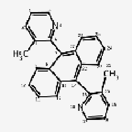 Cc1cccnc1-c1c2ccccc2c(-c2ncccc2C)c2ccccc12